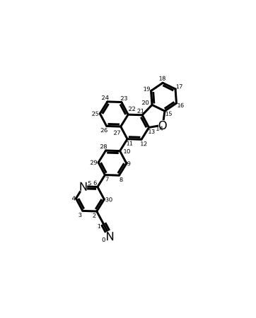 N#Cc1ccnc(-c2ccc(-c3cc4oc5ccccc5c4c4ccccc34)cc2)c1